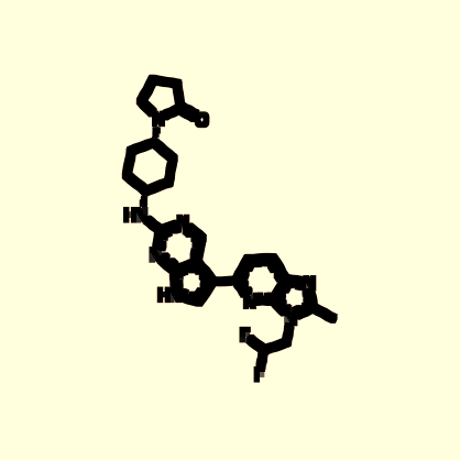 Cc1nc2ccc(-c3c[nH]c4nc(N[C@H]5CC[C@@H](N6CCCC6=O)CC5)ncc34)nc2n1CC(F)F